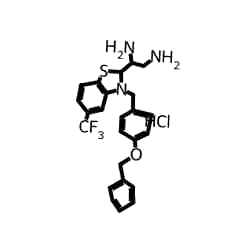 Cl.NCC(N)C1Sc2ccc(C(F)(F)F)cc2N1Cc1ccc(OCc2ccccc2)cc1